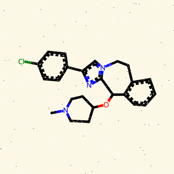 CN1CCC(OC2c3ccccc3CCn3cc(-c4ccc(Cl)cc4)nc32)CC1